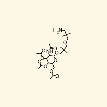 CC(=O)NC1C(OCC(C)(C)COCC(C)(C)CN)OC(COC(C)=O)C(OC(C)=O)C1OC(C)=O